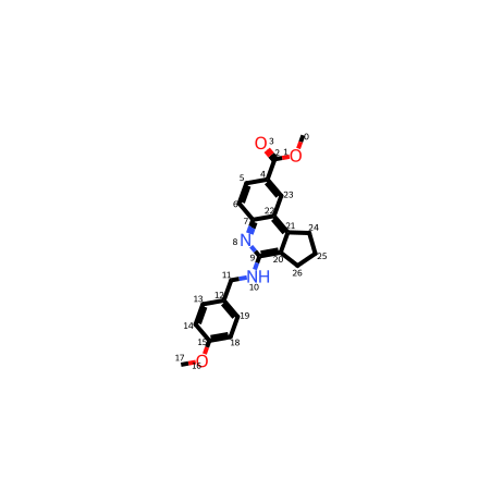 COC(=O)c1ccc2nc(NCc3ccc(OC)cc3)c3c(c2c1)CCC3